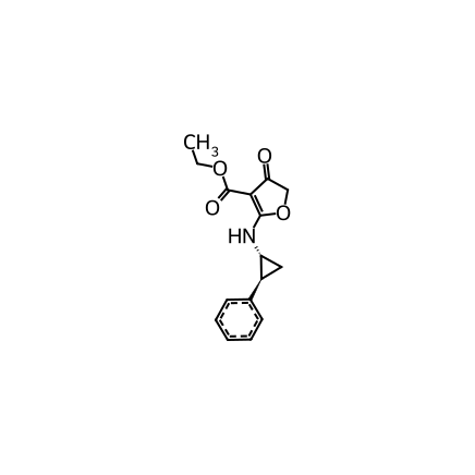 CCOC(=O)C1=C(N[C@@H]2C[C@H]2c2ccccc2)OCC1=O